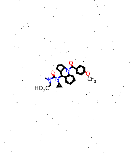 CN(CC(=O)O)C(=O)N(C1CC1)C1c2ccccc2N(C(=O)c2ccc(OC(F)(F)F)cc2)C2CCCC21